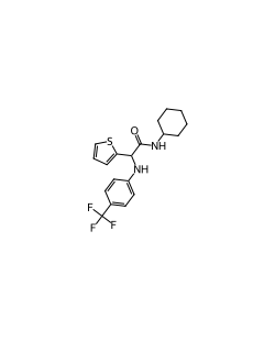 O=C(NC1CCCCC1)C(Nc1ccc(C(F)(F)F)cc1)c1cccs1